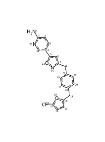 Nc1ccc(-c2cc(Cc3ccc(Cc4ccc(Cl)o4)cc3)no2)cn1